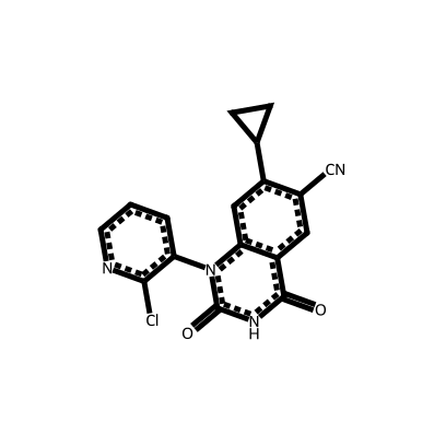 N#Cc1cc2c(=O)[nH]c(=O)n(-c3cccnc3Cl)c2cc1C1CC1